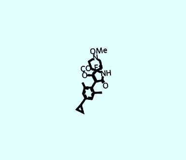 CCOC(=O)OC1=C(c2c(C)cc(C3CC3)cc2C)C(=O)NC12CCN(OC)CC2